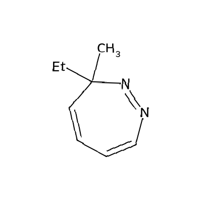 CCC1(C)C=CC=CN=N1